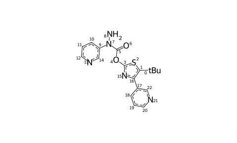 CC(C)(C)c1sc(OC(=O)N(N)c2cccnc2)nc1-c1cccnc1